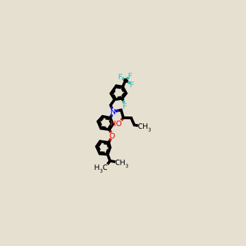 CCCC(O)CN(Cc1ccc(C(F)(F)F)cc1F)c1cccc(Oc2cccc(C(C)C)c2)c1